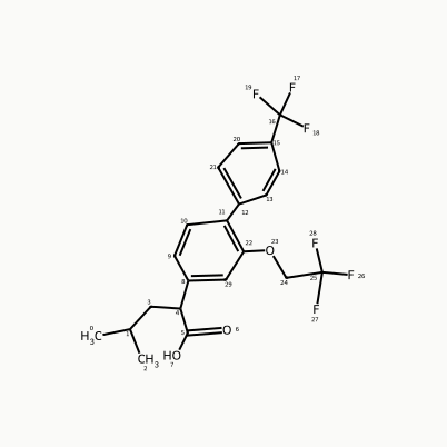 CC(C)CC(C(=O)O)c1ccc(-c2ccc(C(F)(F)F)cc2)c(OCC(F)(F)F)c1